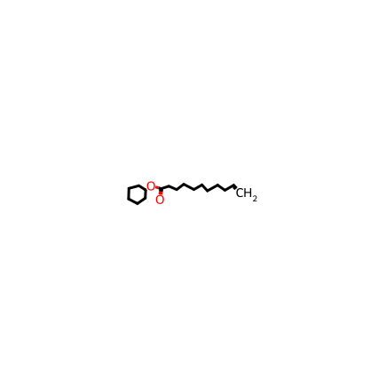 C=CCCCCCCCCC(=O)OC1CCCCC1